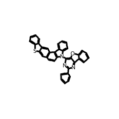 c1ccc(-c2nc(-n3c4ccccc4c4c5cc6c(cc5ccc43)sc3ccccc36)c3oc4ccccc4c3n2)cc1